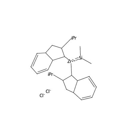 CC(C)C1CC2C=CC=CC2[CH]1[Zr+2]([CH]1C2C=CC=CC2CC1C(C)C)=[Si](C)C.[Cl-].[Cl-]